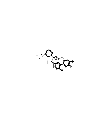 COc1cc(F)c(F)cc1-c1cc(NC(=O)[C@H]2CCC[C@@H](N)C2)ncc1F